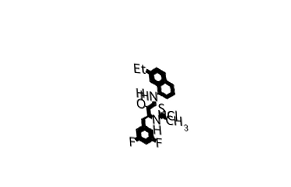 CCc1ccc2c(c1)[C@@H](NC[C@@H](O)[C@H](Cc1cc(F)cc(F)c1)NC(C)=S)CCC2.Cl